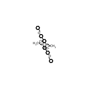 CC(C)CN1c2ccc(-c3ccc(OCc4ccccc4)cc3)cc2N(CC(C)C)c2ccc(-c3ccc(OCc4ccccc4)cc3)cc21